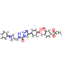 CS(=O)(=O)c1ccc(COc2ccc(-c3cn(C(=O)NCC4CN(c5ccccc5)C4)cn3)cc2)c(O)c1